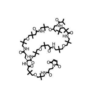 CC(CNC(=O)C(C)C)OCC(C)(C)CNC(=O)CC(C)(C)COCC(C)(C)CNC(=O)CC[C@H](NC(=O)CC(C)(C)COCC(C)(C)CNC(=O)CCN1C(=O)C=CC1=O)C(=O)NCC(C)(C)COCC(C)(C)CC(=O)NCC(C)(C)COCC(C)(C)CNC(=O)C(C)(C)CCC(C)(C)C